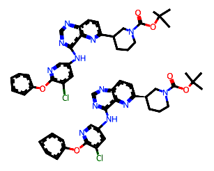 CC(C)(C)OC(=O)N1CCCC(c2ccc3ncnc(Nc4cnc(Oc5ccccc5)c(Cl)c4)c3n2)C1.CC(C)(C)OC(=O)N1CCC[C@@H](c2ccc3ncnc(Nc4cnc(Oc5ccccc5)c(Cl)c4)c3n2)C1